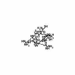 CSCC[C@H](NC(=O)[C@H](N)CS)C(=O)N1CSC[C@H]1C(=O)N[C@@H](CCCNC(=N)N)C(=O)N[C@@H](CC(C)C)C(=O)N[C@@H](CCCNC(=N)N)C(=O)NCC(=O)N[C@H](C(=O)O)C(C)(C)S